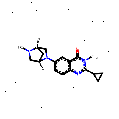 CN1C[C@@H]2C[C@H]1CN2c1ccc2nc(C3CC3)n(C)c(=O)c2c1